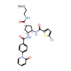 COCCNC(=O)[C@H]1C[C@H](NC(=O)c2ccc(-n3ccccc3=O)cc2)[C@H](NC(=O)c2ccc(Cl)s2)C1